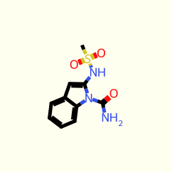 CS(=O)(=O)Nc1cc2ccccc2n1C(N)=O